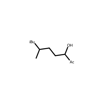 CCC(C)C(C)CCC(O)C(C)=O